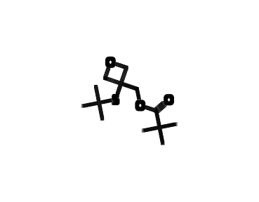 CC(C)(C)SC1(COC(=O)C(C)(C)C)COC1